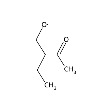 CC=O.CCCC[O]